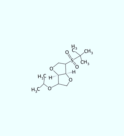 CC(C)OC1CO[C@@H]2C(S(=O)(=O)C(C)(C)C)CO[C@H]12